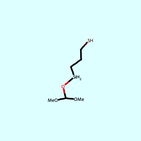 COC(OC)O[SiH2]CCCS